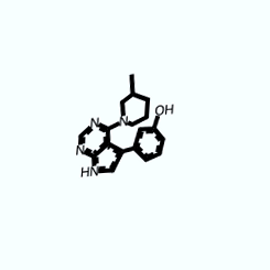 CC1CCCN(c2ncnc3[nH]cc(-c4cccc(O)c4)c23)C1